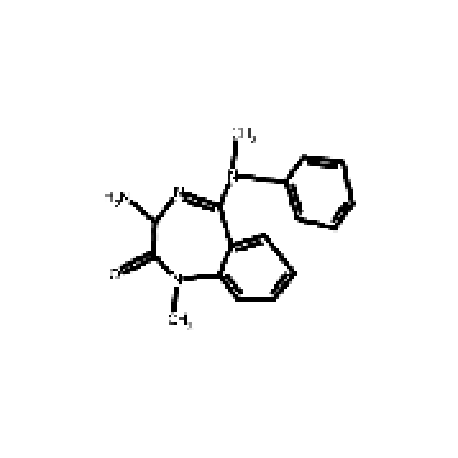 CN(C1=NC(N)C(=O)N(C)c2ccccc21)c1ccccc1